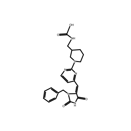 O=C(O)NCC1CCCN(c2nccc(C=C3C(=O)NC(=O)N3Cc3ccccc3)n2)C1